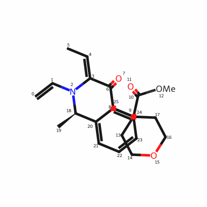 C=CN(/C(=C\C)C(=O)CC1(C(=O)OC)CCOCC1)[C@H](C)c1ccccc1